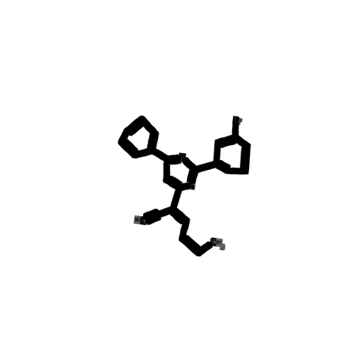 C#C/C(=C\C=C/C)c1cc(-c2ccccc2)nc(-c2cccc(Br)c2)n1